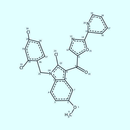 COc1ccc2c(c1)c(C(=O)c1cnc(-c3ccccn3)o1)c(Cl)n2Cc1ccc(Cl)cc1Cl